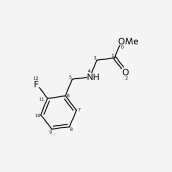 COC(=O)CNCc1ccccc1F